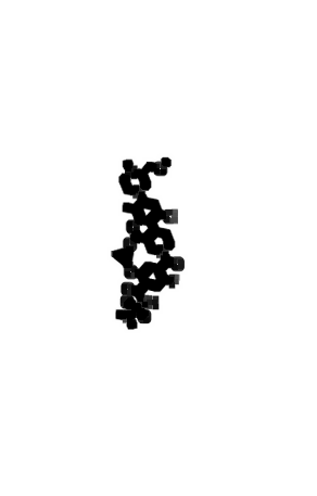 COC[C@H]1CN(c2cc(Cl)c3c4c(c(=O)oc3c2C)CN(C(=O)c2cc(OC3CC3)c(C(=O)NS(=O)(=O)N(C)C)cc2F)CC4)CCN1C